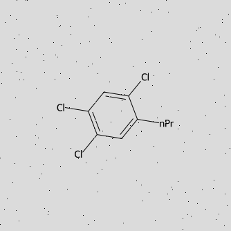 CCCc1cc(Cl)c(Cl)cc1Cl